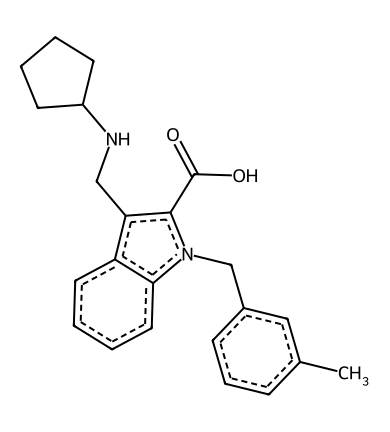 Cc1cccc(Cn2c(C(=O)O)c(CNC3CCCC3)c3ccccc32)c1